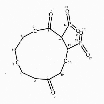 O=C1CCCCCCC(=O)C(P(=O)=O)C(P(=O)=O)CC1